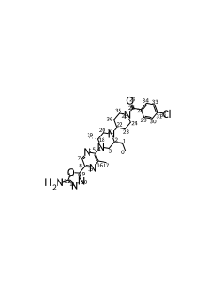 CC[C@H]1CN(c2ncc(-c3nnc(N)o3)nc2C)[C@H](C)CN1C1CCN(C(=O)c2ccc(Cl)cc2)CC1